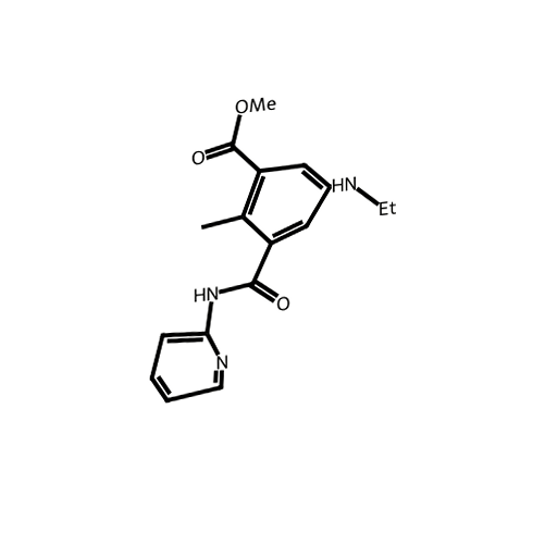 CCNc1cc(C(=O)Nc2ccccn2)c(C)c(C(=O)OC)c1